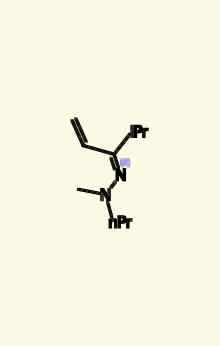 C=C/C(=N\N(C)CCC)C(C)C